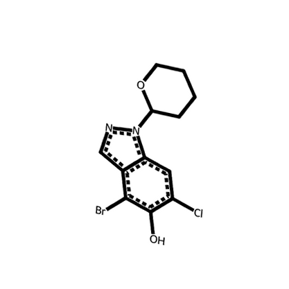 Oc1c(Cl)cc2c(cnn2C2CCCCO2)c1Br